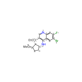 CCOC(=O)c1cnc2cc(F)c(Br)cc2c1N[C@@H]1CC[C@@H](OC)C1